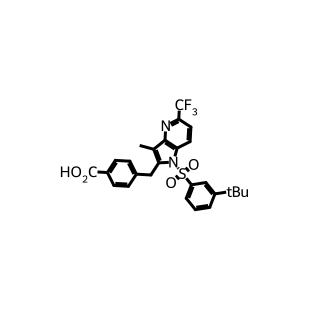 Cc1c(Cc2ccc(C(=O)O)cc2)n(S(=O)(=O)c2cccc(C(C)(C)C)c2)c2ccc(C(F)(F)F)nc12